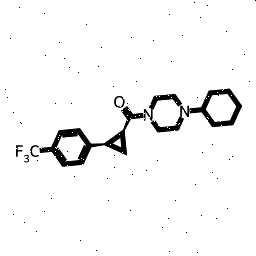 O=C([C@H]1C[C@H]1c1ccc(C(F)(F)F)cc1)N1CCN(C2CCCCC2)CC1